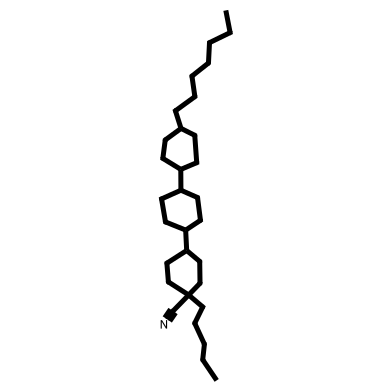 CCCCCCCC1CCC(C2CCC(C3CCC(C#N)(CCCCC)CC3)CC2)CC1